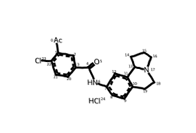 CC(=O)c1cc(C(=O)Nc2ccc3c(c2)C2CCCN2CC3)ccc1Cl.Cl